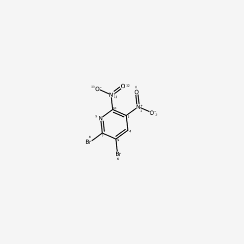 O=[N+]([O-])c1cc(Br)c(Br)nc1[N+](=O)[O-]